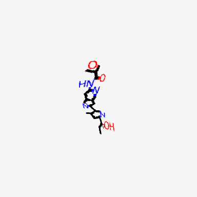 CC[C@@H](O)c1cc(C)c(-c2cc3cnc(NC(=O)C4COC4)cc3cn2)cn1